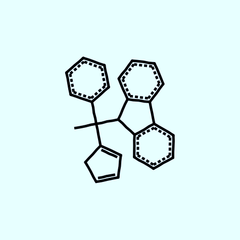 CC(C1=CC=CC1)(c1ccccc1)C1c2ccccc2-c2ccccc21